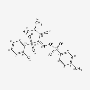 Cc1ccc(S(=O)(=O)O/N=C(\C(=O)N(C)C)S(=O)(=O)c2ccccc2Cl)cc1